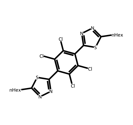 CCCCCCc1nnc(-c2c(Cl)c(Cl)c(-c3nnc(CCCCCC)s3)c(Cl)c2Cl)s1